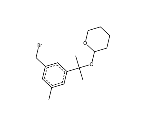 Cc1cc(CBr)cc(C(C)(C)OC2CCCCO2)c1